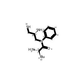 CC[C@H](C)[C@H](N)C(=O)N(C[C@@H](N)CS)c1ccccc1